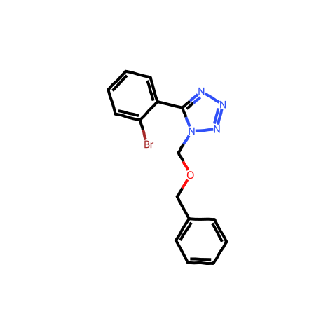 Brc1ccccc1-c1nnnn1COCc1ccccc1